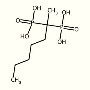 CCCCCC(C)(P(=O)(O)O)P(=O)(O)O